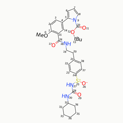 COc1ccc(-c2cccn2C(=O)OC(C)(C)C)cc1C(=O)NCCc1ccc([S+]([O-])NC(=O)NC2CCCCC2)cc1